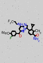 COc1ccc(C(=O)c2cc(NCCC(F)(F)F)c3ncc(-c4ccc(C(N)=O)c(C)c4C4CC4)n3n2)cc1F